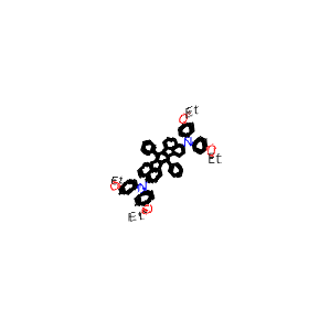 CCOc1ccc(N(c2ccc(OCC)cc2)c2ccc3c4c(-c5ccccc5)c5c6ccc(N(c7ccc(OCC)cc7)c7ccc(OCC)cc7)c7cccc(c5c(-c5ccccc5)c4c4cccc2c43)c76)cc1